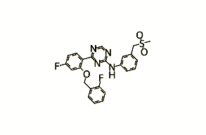 CS(=O)(=O)Cc1cccc(Nc2ncnc(-c3ccc(F)cc3OCc3ccccc3F)n2)c1